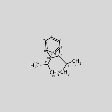 CC(C)C1c2cccc(n2)C1C(C)C